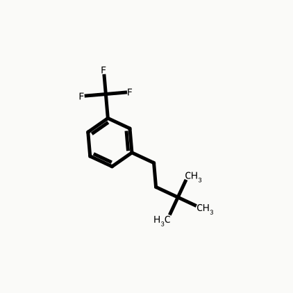 CC(C)(C)CCc1cccc(C(F)(F)F)c1